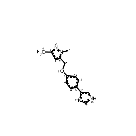 Cn1nc(C(F)(F)F)cc1COc1ccc(-c2c[nH]cn2)cc1